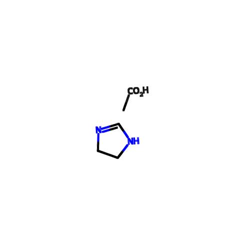 C1=NCCN1.CC(=O)O